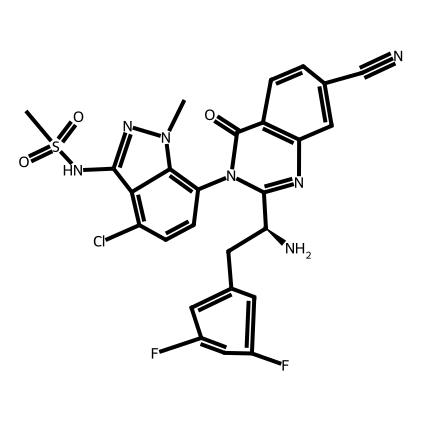 Cn1nc(NS(C)(=O)=O)c2c(Cl)ccc(-n3c([C@@H](N)Cc4cc(F)cc(F)c4)nc4cc(C#N)ccc4c3=O)c21